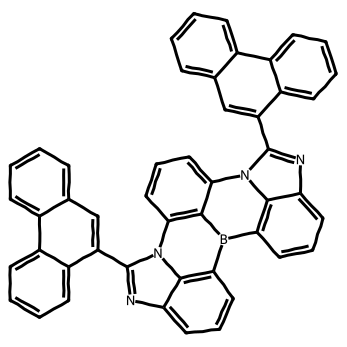 c1cc2c3c(c1)-n1c(-c4cc5ccccc5c5ccccc45)nc4cccc(c41)B3c1cccc3nc(-c4cc5ccccc5c5ccccc45)n-2c13